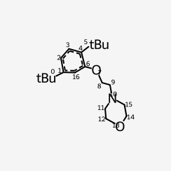 CC(C)(C)c1ccc(C(C)(C)C)c(OCCN2CCOCC2)c1